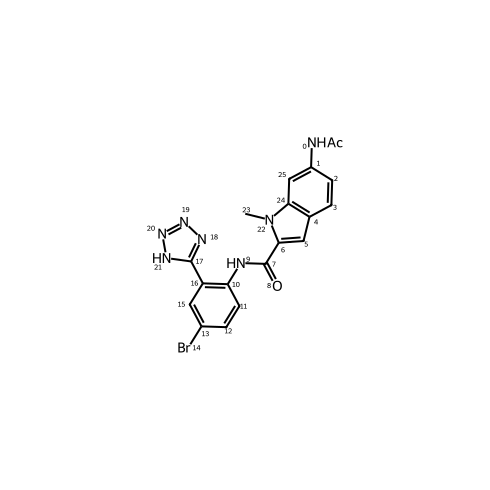 CC(=O)Nc1ccc2cc(C(=O)Nc3ccc(Br)cc3-c3nnn[nH]3)n(C)c2c1